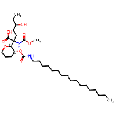 CCCCCCCCCCCCCCCCCNC(=O)O[C@@H]1CCCO[C@H]1C(CCC(O)CC)(NC(=O)OC)C(=O)O